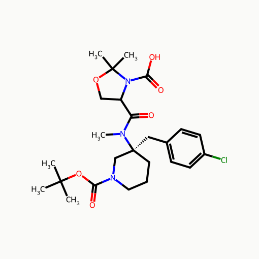 CN(C(=O)C1COC(C)(C)N1C(=O)O)[C@@]1(Cc2ccc(Cl)cc2)CCCN(C(=O)OC(C)(C)C)C1